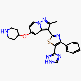 Cc1nn2ccc(OC3CCNCC3)cc2c1-c1nc(-c2ccccc2)c(-c2nc[nH]n2)s1